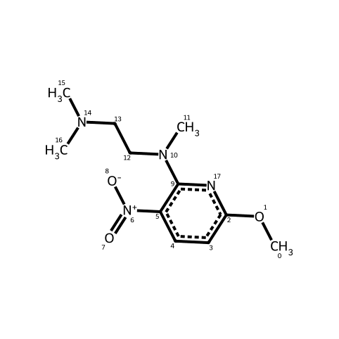 COc1ccc([N+](=O)[O-])c(N(C)CCN(C)C)n1